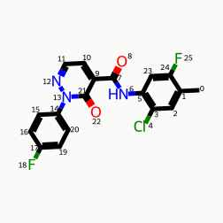 Cc1cc(Cl)c(NC(=O)c2ccnn(-c3ccc(F)cc3)c2=O)cc1F